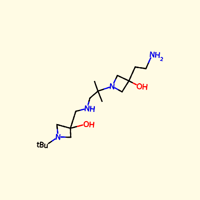 CC(C)(C)N1CC(O)(CNCC(C)(C)N2CC(O)(CCN)C2)C1